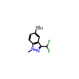 Cn1nc(C(F)F)c2cc(C(C)(C)C)ccc21